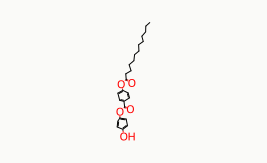 CCCCCCCCCCCCC(=O)Oc1ccc(C(=O)Oc2ccc(O)cc2)cc1